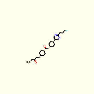 CCC(=O)CC[C@H]1CC[C@H](C(=O)C[C@H]2CC[C@H](c3cnc(CCCF)nc3)CC2)CC1